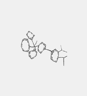 CC(C)c1ccc(-c2ccc([SH](C)(c3ccccc3)(c3ccccc3)c3ccccc3)cc2)cc1C(C)C